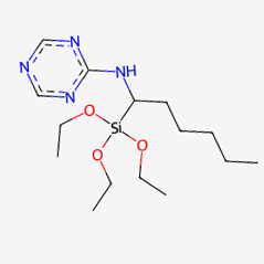 CCCCCC(Nc1ncncn1)[Si](OCC)(OCC)OCC